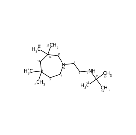 CC1(C)CCN(CCNC(C)(C)C)CC(C)(C)C1